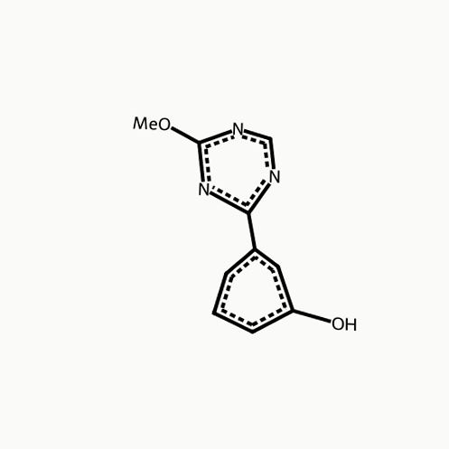 COc1ncnc(-c2cccc(O)c2)n1